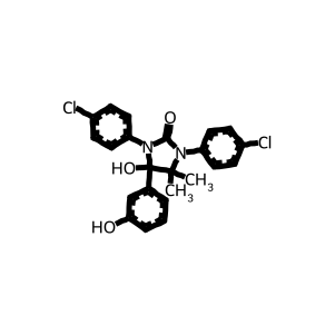 CC1(C)N(c2ccc(Cl)cc2)C(=O)N(c2ccc(Cl)cc2)C1(O)c1cccc(O)c1